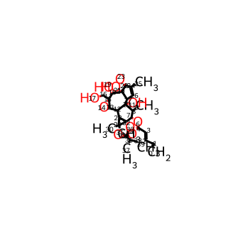 C=C/C=C/C(=O)OC1C(C)C2(O)C(C3OC3(CO)C(O)C3(O)C(=O)C(C)=CC32)C2C(C)(C)C12OC(=O)C(C)CC